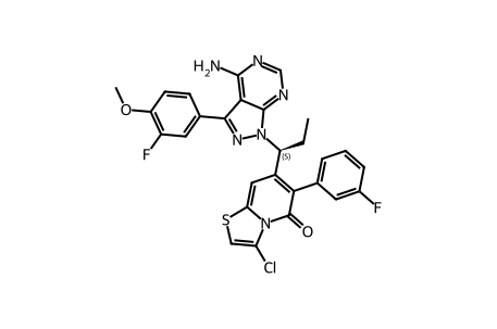 CC[C@@H](c1cc2scc(Cl)n2c(=O)c1-c1cccc(F)c1)n1nc(-c2ccc(OC)c(F)c2)c2c(N)ncnc21